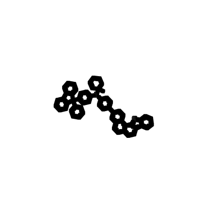 CC1(N(c2ccc(-c3ccc4c(ccc5ccc6c7ccccc7oc6c54)c3)cc2)c2ccc(C3(c4ccccc4)c4ccccc4-c4ccccc43)cc2)C=CC=CC1